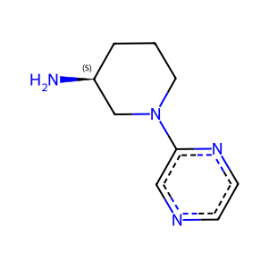 N[C@H]1CCCN(c2cnccn2)C1